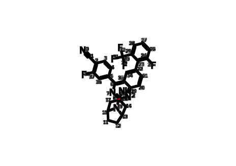 N#Cc1ccc(-c2nc(N3C4CCC3CC(N)C4)nc3ccc(-c4c(F)cccc4C(F)(F)F)cc23)cc1F